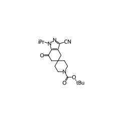 CC(C)n1nc(C#N)c2c1C(=O)CC1(CCN(C(=O)OC(C)(C)C)CC1)C2